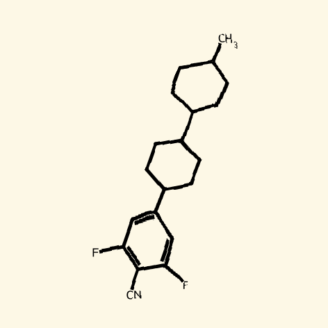 CC1CCC(C2CCC(c3cc(F)c(C#N)c(F)c3)CC2)CC1